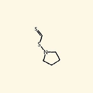 S=CSN1CCCC1